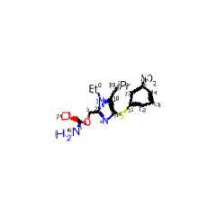 CCn1c(COC(N)=O)nc(Sc2cccc([N+](=O)[O-])c2)c1C(C)C